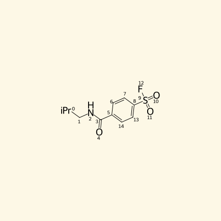 CC(C)CNC(=O)c1ccc(S(=O)(=O)F)cc1